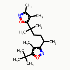 Cc1noc(C(C)(C)CCC(C)c2noc(C(C)(C)C)c2C)c1C